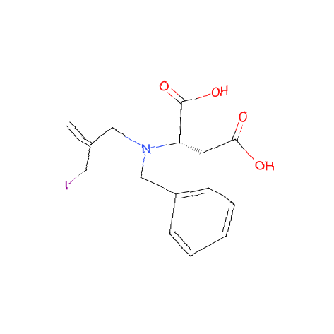 C=C(CI)CN(Cc1ccccc1)[C@@H](CC(=O)O)C(=O)O